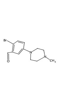 CN1CCN(c2ccc(Br)c(C=O)c2)CC1